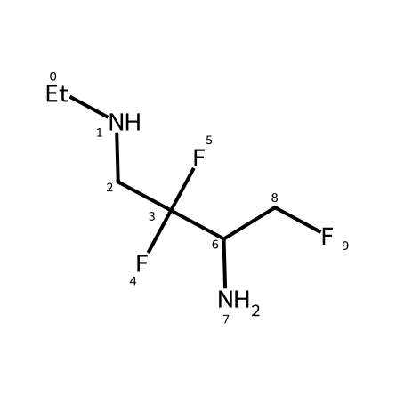 CCNCC(F)(F)C(N)CF